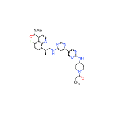 CNC(=O)c1ccnc2c([C@H](C)CNc3cc(-c4cnc(NC5CCN(C(=O)CC(F)(F)F)CC5)nc4)ncn3)ccc(F)c12